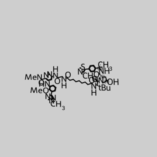 CNC(=O)c1nnc(NC(=O)CNC(=O)CCCCCCCC(=O)NC(C(=O)N2C[C@H](O)C[C@H]2C(=O)N[C@@H](C)c2ccc(-c3scnc3C)cc2)C(C)(C)C)cc1Nc1cccc(-c2ncn(C)n2)c1OC